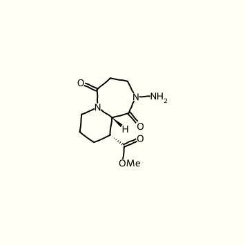 COC(=O)[C@@H]1CCCN2C(=O)CCN(N)C(=O)[C@H]12